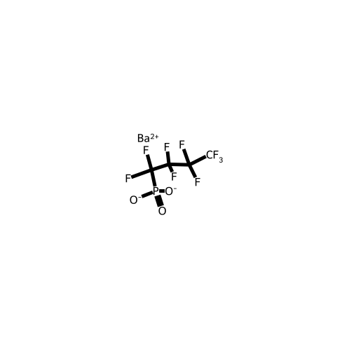 O=P([O-])([O-])C(F)(F)C(F)(F)C(F)(F)C(F)(F)F.[Ba+2]